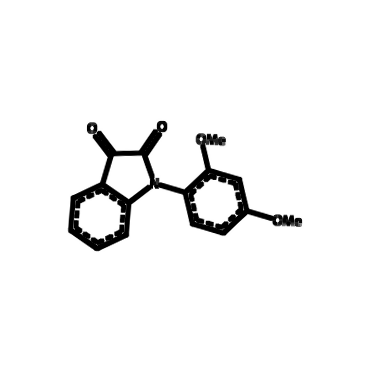 COc1ccc(N2C(=O)C(=O)c3ccccc32)c(OC)c1